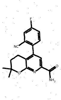 CC1(C)CCc2c(-c3ccc(F)cc3C#N)cc(C(N)=O)nc2O1